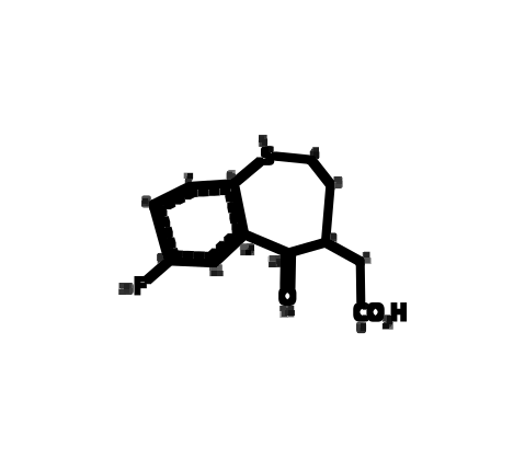 O=C(O)CC1CCSc2ccc(F)cc2C1=O